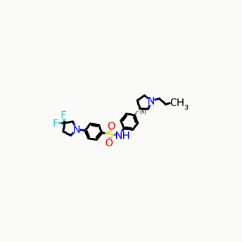 CCCN1CC[C@@H](c2ccc(NS(=O)(=O)c3ccc(N4CCC(F)(F)C4)cc3)cc2)C1